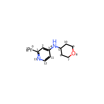 CC(C)c1cc(NC2CCOCC2)ccn1